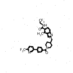 Cc1c(C(=O)NCC(F)(F)F)ccc2nn(CC3CCN(C(=O)c4ccc(-c5ccc(C(F)(F)F)nc5)cc4)CC3)cc12